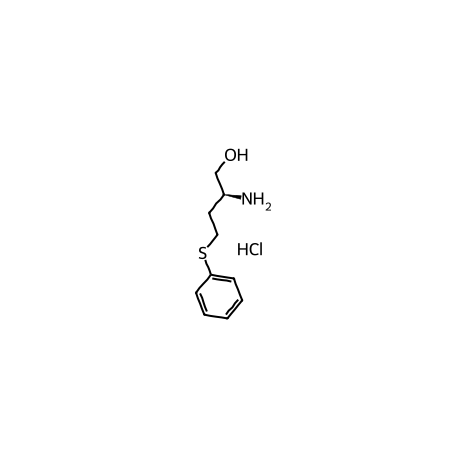 Cl.N[C@H](CO)CCSc1ccccc1